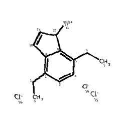 CCc1ccc(CC)c2c1C=C[CH]2[Ti+3].[Cl-].[Cl-].[Cl-]